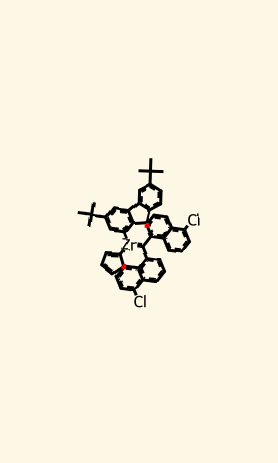 CC(C)(C)c1ccc2c(c1)-c1cc(C(C)(C)C)c[c]([Zr]([C]3=CC=CC3)=[C](c3cccc4c(Cl)cccc34)c3cccc4c(Cl)cccc34)c1C2